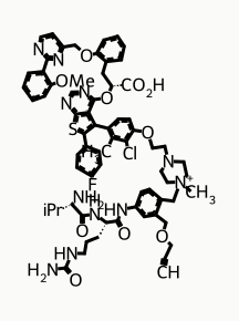 C#CCOCc1cc(NC(=O)[C@H](CCCNC(N)=O)NC(=O)[C@@H](N)C(C)C)ccc1C[N+]1(C)CCN(CCOc2ccc(-c3c(-c4ccc(F)cc4)sc4ncnc(O[C@H](Cc5ccccc5OCc5ccnc(-c6ccccc6OC)n5)C(=O)O)c34)c(C)c2Cl)CC1